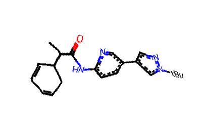 CC(C(=O)Nc1ccc(-c2cnn(C(C)(C)C)c2)cn1)C1C=CC=CC1